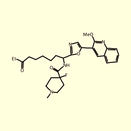 CCC(=O)CCCCCC(NC(=O)C1(F)CCN(C)CC1)c1ncc(-c2cc3ccccc3nc2OC)o1